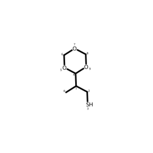 CC(CS)C1OCOCO1